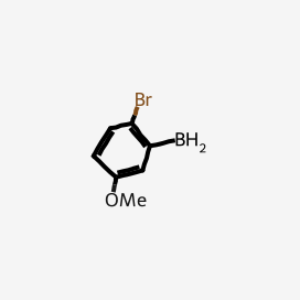 Bc1cc(OC)ccc1Br